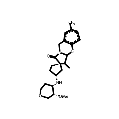 CO[C@@H]1COCC[C@@H]1N[C@@H]1CC[C@@]2(C1)C(=O)N1Cc3cc(C(F)(F)F)ccc3OC1C2C